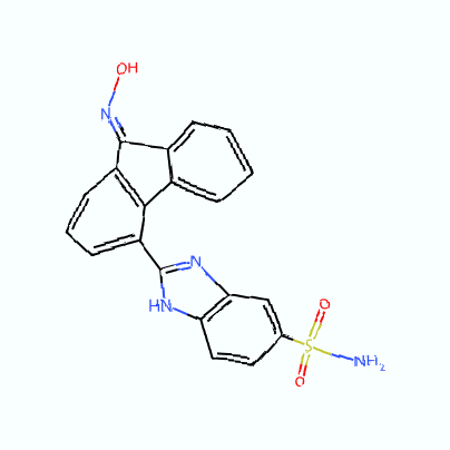 NS(=O)(=O)c1ccc2[nH]c(-c3cccc4c3-c3ccccc3/C4=N\O)nc2c1